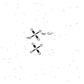 O=S(=O)([O-])O.O=S(=O)([O-])[O-].[Cu+2].[Na+]